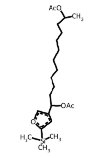 CC(=O)OC(C)CCCCCCCCCC(OC(C)=O)c1coc([Si](C)(C)C)c1